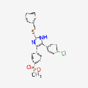 CS(=O)(=O)c1ccc(-c2nc(SCc3ccccc3)[nH]c2-c2ccc(Cl)cc2)cc1